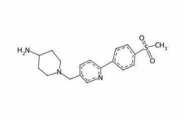 CS(=O)(=O)c1ccc(-c2ccc(CN3CCC(N)CC3)cn2)cc1